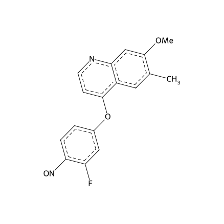 COc1cc2nccc(Oc3ccc(N=O)c(F)c3)c2cc1C